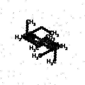 CCCCCCCC/C=C\CCCCCCCCN(CC(N)=O)C(=O)CN(CCCCCCCCCC)C(=O)CN(CCCCCCCC/C=C\CCCCCCCC)C(=O)CN(CCCCCCCCCCC(C)CCCCCCCCN(CC(N)=O)C(=O)CN(CCCCCCCCCC)C(=O)CN(CCCCCCCCCC)C(=O)CN(CCCCCCCCCC)C(=O)CN(CC)CCO)C(=O)CNCCO